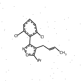 C/C=C/Cc1c(-c2c(Cl)cccc2Cl)noc1C(C)C